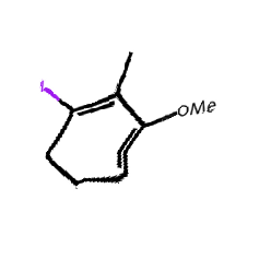 COC1=C[CH]CC(I)=C1C